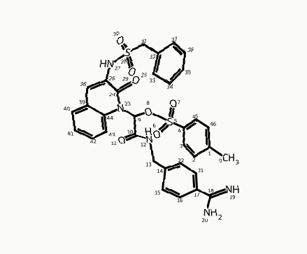 Cc1ccc(S(=O)(=O)OC(C(=O)NCc2ccc(C(=N)N)cc2)n2c(=O)c(NS(=O)(=O)Cc3ccccc3)cc3ccccc32)cc1